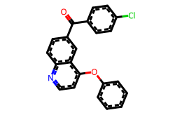 O=C(c1ccc(Cl)cc1)c1ccc2nccc(Oc3ccccc3)c2c1